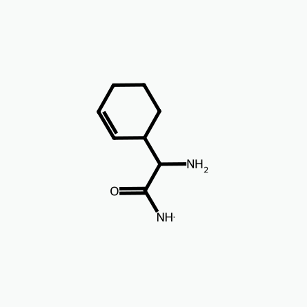 [NH]C(=O)C(N)C1C=CCCC1